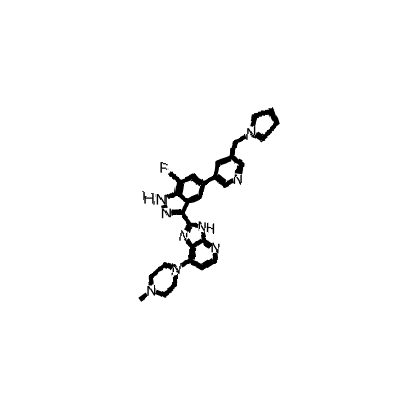 CN1CCN(c2ccnc3[nH]c(-c4n[nH]c5c(F)cc(-c6cncc(CN7CCCC7)c6)cc45)nc23)CC1